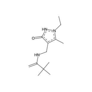 C=C(NCc1c(C)n(CC)[nH]c1=O)C(C)(C)C